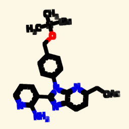 CC(=O)OCc1ccc2nc(-c3cccnc3N)n(-c3ccc(CO[Si](C)(C)C(C)(C)C)cc3)c2n1